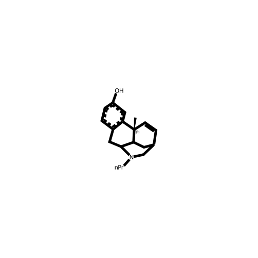 CCCN1CC2C=C[C@@]3(C)c4cc(O)ccc4CC1C3C2